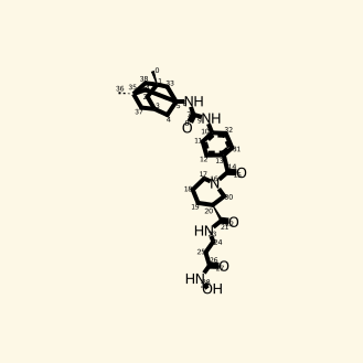 C[C@]12CC3CC(NC(=O)Nc4ccc(C(=O)N5CCC[C@H](C(=O)NCCC(=O)NO)C5)cc4)(C1)C[C@@](C)(C3)C2